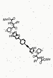 COC(=O)N[C@H](C(=O)N1C[C@@H](C)C[C@H]1c1ncc(C#Cc2ccc(-c3cc4[nH]c([C@@H]5C[C@H](C)CN5C(=O)[C@@H](NC(=O)OC)C(C)C)nc4s3)cc2)[nH]1)C(C)C